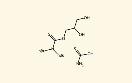 CCCCN(CCCC)C(=S)OCC(O)CO.NC(O)=S